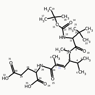 C/C(=C\C(C(C)C)N(C)C(=O)C(NC(=O)OC(C)(C)C)C(C)(C)C)C(=O)NC(CCC(=O)O)C(=O)O